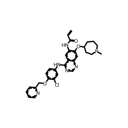 C=CC(=O)Nc1cc2c(Nc3ccc(OCc4ccccn4)c(Cl)c3)ncnc2cc1OC1CCCN(C)CC1